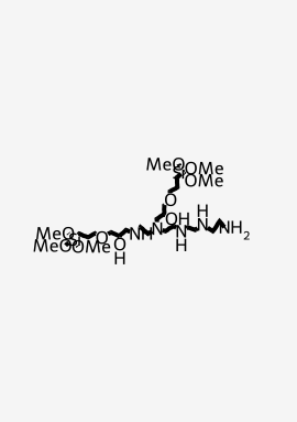 CO[Si](CCCOCC(O)CNCCN(CCNCCNCCN)CC(O)COCCC[Si](OC)(OC)OC)(OC)OC